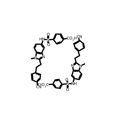 CCOC(=O)c1ccc(S(=O)(=O)Nc2ccc3c(c2)nc(CCc2ccc(C#N)cc2)n3C)cc1.Cn1c(CCc2ccc(C#N)cc2)nc2cc(NS(=O)(=O)c3ccc(C(=O)O)cc3)ccc21